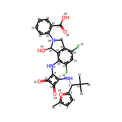 Cc1ccc([C@H](Nc2c(Nc3c(F)cc(F)c4c3C(O)N(c3ccccc3C(=O)O)C4)c(=O)c2=O)C(C)(C)C)o1